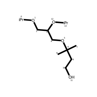 CC(C)OCC(COC(C)(C)CCO)OC(C)C